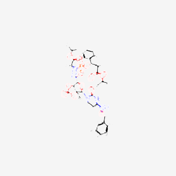 CC(C)OC(=O)CCc1ccccc1OP(=O)(N[C@@H](C)C(=O)OC(C)C)OC[C@H]1O[C@@H](n2ccc(NOCc3ccccc3)nc2=O)C2(C)OC(=O)OC12